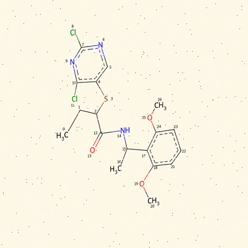 CCC(Sc1cnc(Cl)nc1Cl)C(=O)NC(C)c1c(OC)cccc1OC